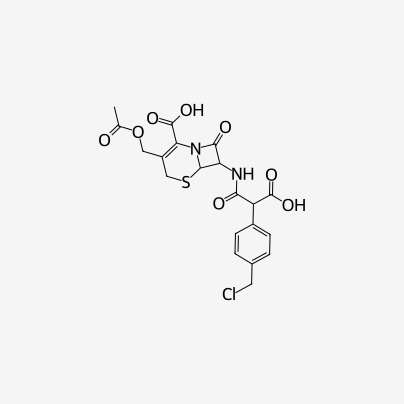 CC(=O)OCC1=C(C(=O)O)N2C(=O)C(NC(=O)C(C(=O)O)c3ccc(CCl)cc3)C2SC1